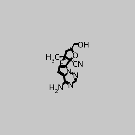 C[C@@]1(F)C[C@@H](CO)O[C@@]1(C#N)c1ccc2c(N)ncnn12